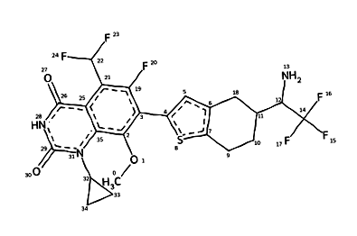 COc1c(-c2cc3c(s2)CCC(C(N)C(F)(F)F)C3)c(F)c(C(F)F)c2c(=O)[nH]c(=O)n(C3CC3)c12